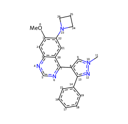 COc1cc2ncnc(-c3cn(C)nc3-c3ccccc3)c2cc1N1CCC1